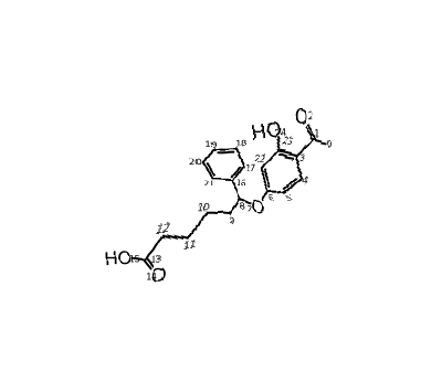 CC(=O)c1ccc(OC(CCCCC(=O)O)c2ccccc2)cc1O